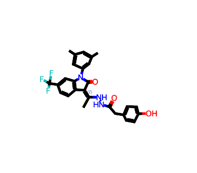 C/C(NNC(=O)Cc1ccc(O)cc1)=C1/C(=O)N(c2cc(C)cc(C)c2)c2cc(C(F)(F)F)ccc21